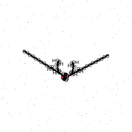 COCCOCCOCCOCCOCCOCCOCCOCCOCCOCC(=O)NCCCCC(NC(=O)CCCNC(=O)C(C(C(=O)NCCCC(=O)NC(CCCCNC(=O)COCCOCCOCCOCCOCCOCCOCCOCCOCCOC)C(=O)NCCCC(=O)NCC(=O)O)N1C(=O)C=CC1=O)N1C(=O)C=CC1=O)C(=O)NCCCC(=O)NCC(=O)O